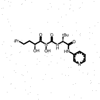 CC(C)CC[C@H](O)C(=O)N(O)C(=O)N[C@H](C(=O)Nc1cccnc1)C(C)(C)C